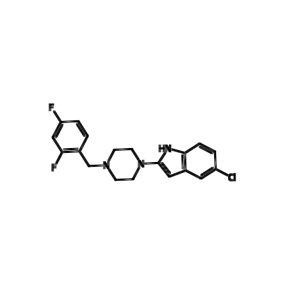 Fc1ccc(CN2CCN(c3cc4cc(Cl)ccc4[nH]3)CC2)c(F)c1